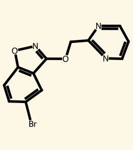 Brc1ccc2onc(OCc3ncccn3)c2c1